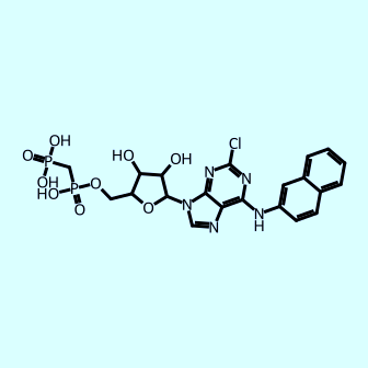 O=P(O)(O)CP(=O)(O)OCC1OC(n2cnc3c(Nc4ccc5ccccc5c4)nc(Cl)nc32)C(O)C1O